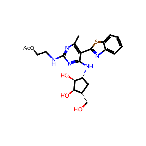 CC(=O)OCCNc1nc(C)c(-c2nc3ccccc3s2)c(N[C@@H]2C[C@H](CO)[C@@H](O)[C@H]2O)n1